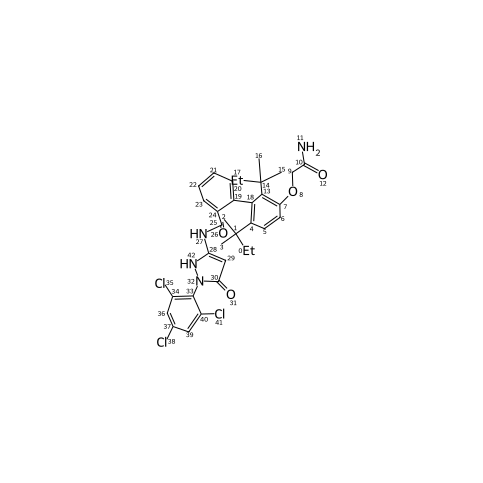 CCC(C)(C)c1ccc(OCC(N)=O)c(C(C)(C)CC)c1-c1ccccc1C(=O)Nc1cc(=O)n(-c2c(Cl)cc(Cl)cc2Cl)[nH]1